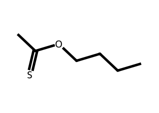 CCCCOC(C)=S